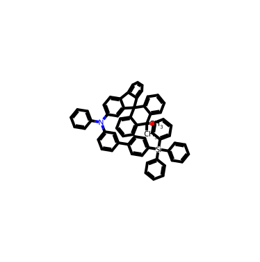 CC1(C)c2ccccc2C2(c3ccccc3-c3ccc(N(c4ccccc4)c4cccc(-c5ccc([Si](c6ccccc6)(c6ccccc6)c6ccccc6)cc5)c4)cc32)c2ccccc21